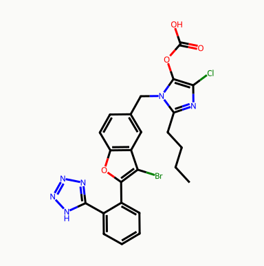 CCCCc1nc(Cl)c(OC(=O)O)n1Cc1ccc2oc(-c3ccccc3-c3nnn[nH]3)c(Br)c2c1